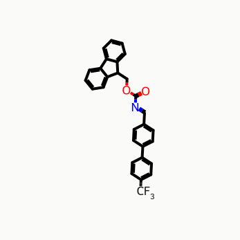 O=C(N=Cc1ccc(-c2ccc(C(F)(F)F)cc2)cc1)OCC1c2ccccc2-c2ccccc21